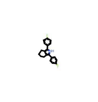 Fc1ccc(-c2[nH]c(-c3ccc(F)cc3)c3c2CCCC3)cc1